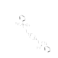 CC(C)C(C#N)(CCCN1CCN(CCC(C#N)(c2ccccc2)C(C)C)CC1)c1ccccc1